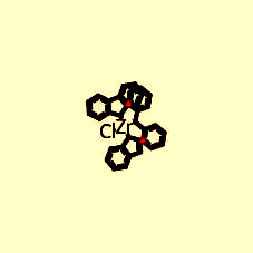 [Cl][Zr](=[C](c1ccccc1)c1ccccc1)([CH]1C=Cc2ccccc21)[CH]1c2ccccc2-c2ccccc21